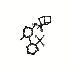 Cc1ccc(NC(=O)N2C3CC(C)CC2C3)cc1-c1nccnc1C(F)(F)F